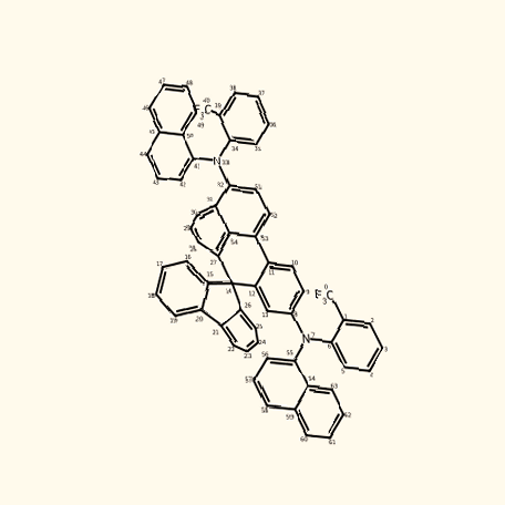 FC(F)(F)c1ccccc1N(c1ccc2c(c1)C1(c3ccccc3-c3ccccc31)c1cccc3c(N(c4ccccc4C(F)(F)F)c4cccc5ccccc45)ccc-2c13)c1cccc2ccccc12